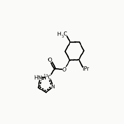 CC1CCC(C(C)C)C(OC(=O)[13c]2ncc[nH]2)C1